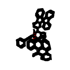 O=c1c2ccncc2c2cccc3c2n1-c1ccccc1C31c2ccccc2N(c2ccc3c(c2)C2(c4ccccc4-c4ccccc42)c2ccccc2-3)c2ccc(-c3ccccc3)cc21